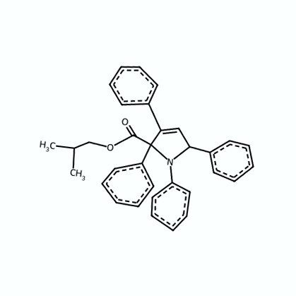 CC(C)COC(=O)C1(c2ccccc2)C(c2ccccc2)=CC(c2ccccc2)N1c1ccccc1